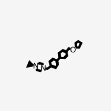 c1cc(-c2ccc(CN3CCN(C4CC4)CC3)cc2)ccc1COC1CCCC1